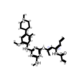 C=C/C=C(\C=C(/C)Oc1nc(NC)nc(Nc2cc(C)c(C3CCN(C)CC3)cc2OC)n1)NC(=O)C=C